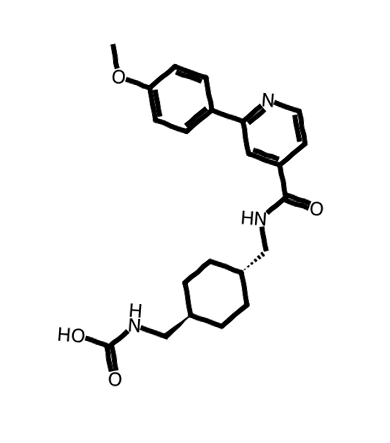 COc1ccc(-c2cc(C(=O)NC[C@H]3CC[C@H](CNC(=O)O)CC3)ccn2)cc1